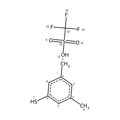 Cc1cc(C)cc(S)c1.O=S(=O)(O)C(F)(F)F